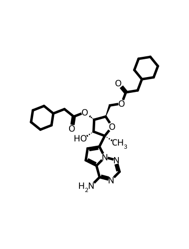 C[C@@]1(c2ccc3c(N)ncnn23)O[C@H](COC(=O)CC2CCCCC2)[C@@H](OC(=O)CC2CCCCC2)[C@H]1O